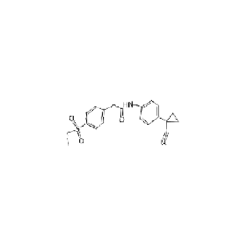 CCS(=O)(=O)c1ccc(CC(=O)Nc2ccc(C3(C#N)CC3)cc2)cc1